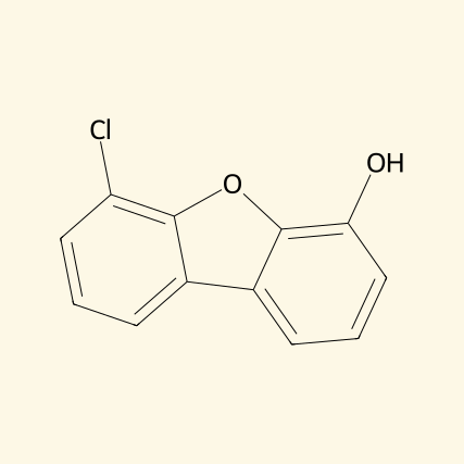 Oc1cccc2c1oc1c(Cl)cccc12